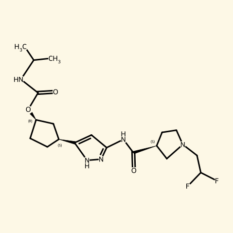 CC(C)NC(=O)O[C@@H]1CC[C@H](c2cc(NC(=O)[C@H]3CCN(CC(F)F)C3)n[nH]2)C1